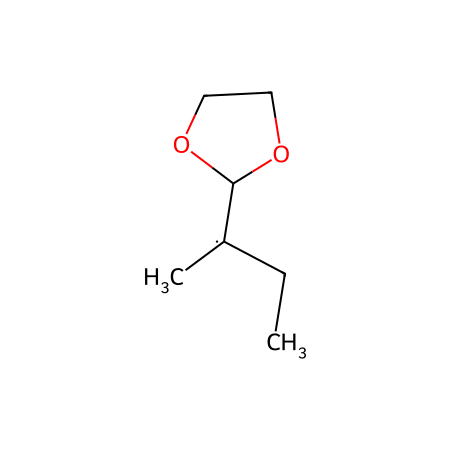 CC[C](C)C1OCCO1